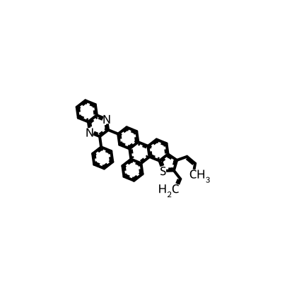 C=Cc1sc2c(ccc3c4ccc(-c5nc6ccccc6nc5-c5ccccc5)cc4c4ccccc4c32)c1/C=C\C